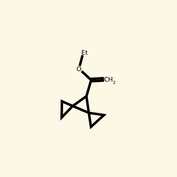 C=C(OCC)C1C2(CC2)C12CC2